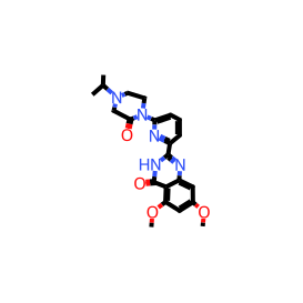 COc1cc(OC)c2c(=O)[nH]c(-c3cccc(N4CCN(C(C)C)CC4=O)n3)nc2c1